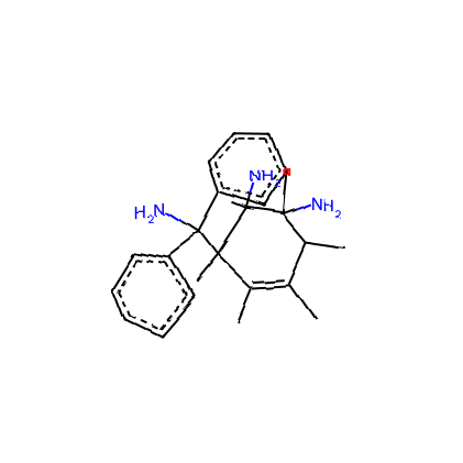 CC1=C(C)C(C)(C(N)(c2ccccc2)c2ccccc2)C(C)(N)C(C)(N)C1C